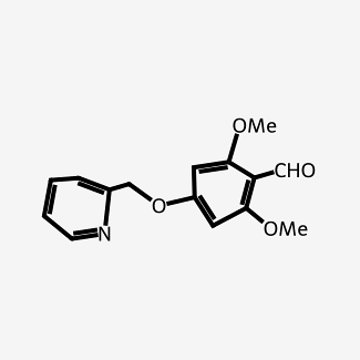 COc1cc(OCc2ccccn2)cc(OC)c1C=O